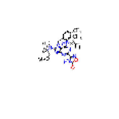 COCC1(N(C)c2nc3nc(-c4noc(=O)[nH]4)nc(N[C@H](C)C4CCC4)c3n2Cc2ccc(C(F)(F)F)cc2)CC1